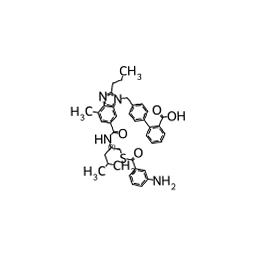 CCCc1nc2c(C)cc(C(=O)N[C@@H](CSC(=O)c3cccc(N)c3)CC(C)C)cc2n1Cc1ccc(-c2ccccc2C(=O)O)cc1